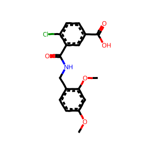 COc1ccc(CNC(=O)c2cc(C(=O)O)ccc2Cl)c(OC)c1